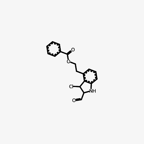 O=CC1Nc2cccc(CCOC(=O)c3ccccc3)c2C1Cl